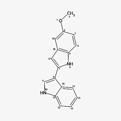 COc1ccc2[nH]c(-c3c[nH]c4ccccc34)cc2c1